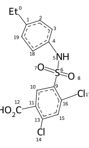 CCc1ccc(NS(=O)(=O)c2cc(C(=O)O)c(Cl)cc2Cl)cc1